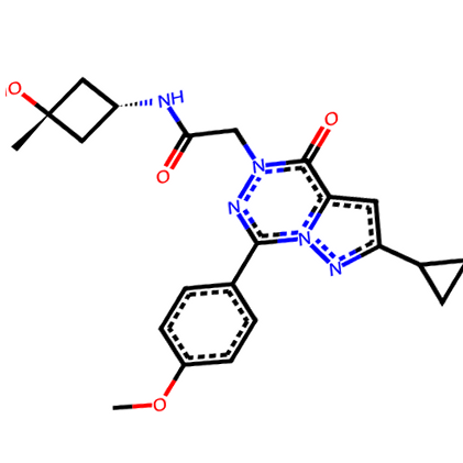 COc1ccc(-c2nn(CC(=O)N[C@H]3C[C@@](C)(O)C3)c(=O)c3cc(C4CC4)nn23)cc1